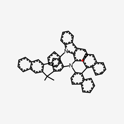 CC1(C)c2cc(N(c3ccc4ccccc4c3-c3cccc4ccccc34)c3cccc4c5ccccc5n(-c5ccccc5)c34)ccc2-c2cc3ccccc3cc21